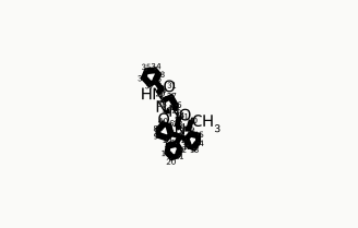 CC1CN(C(c2ccccc2)(c2ccccc2)c2ccccc2)CC(n2ccc(NC(=O)c3ccccc3)nc2=O)O1